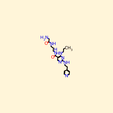 CCCNc1nc(NCCc2ccncc2)ncc1C(=O)NCCCNC(=O)CN